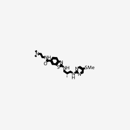 CSc1cnc(NC[C@H](C)CNc2nc3ccc(C(=O)NCCN(C)C)cc3s2)nc1